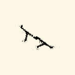 CCCCOC(=O)CCCCC(O)CN(CCCCSSCCN1CCN(CCOC(=O)CCCN(CC(O)CCCCC(=O)OCCCC)CC(O)CCCCC(=O)OCCCC)CC1)CC(O)CCCCC(=O)OCCCC